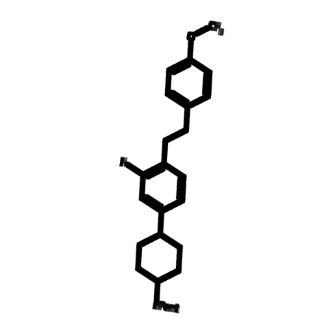 CCCCCC1CCC(c2ccc(CCc3ccc(OC(F)(F)F)cc3)c(F)c2)CC1